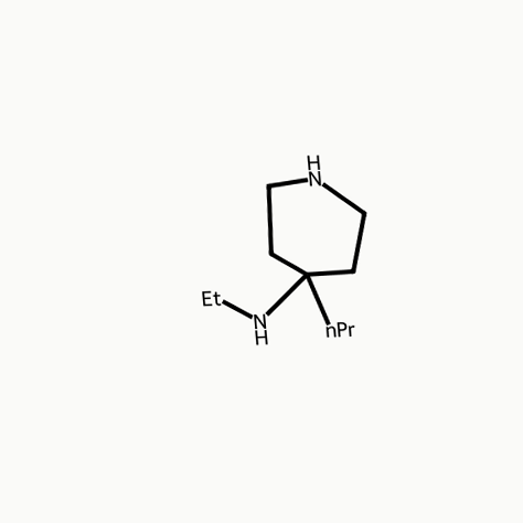 CCCC1(NCC)CCNCC1